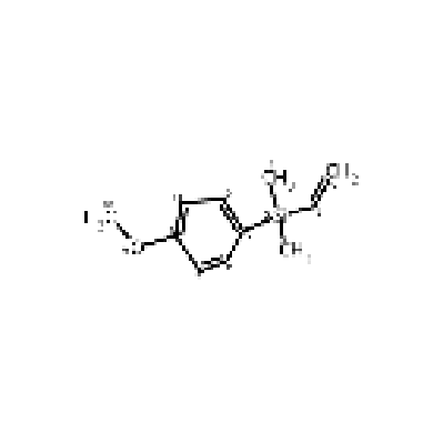 C=C[Si](C)(C)c1ccc(OC)cc1